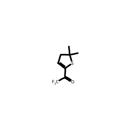 CC1(C)CC=C(C(=O)C(F)(F)F)S1